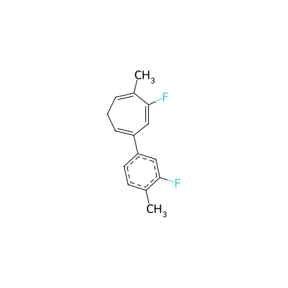 CC1=CCC=C(c2ccc(C)c(F)c2)C=C1F